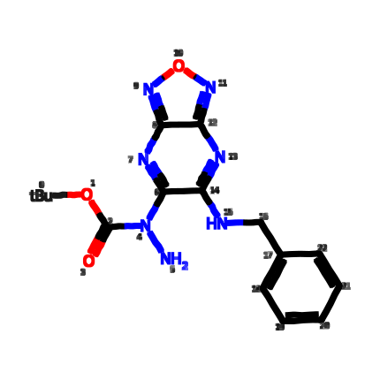 CC(C)(C)OC(=O)N(N)c1nc2nonc2nc1NCc1ccccc1